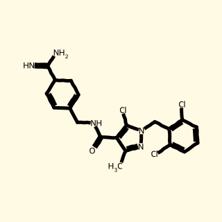 Cc1nn(Cc2c(Cl)cccc2Cl)c(Cl)c1C(=O)NCC1=CCC(C(=N)N)C=C1